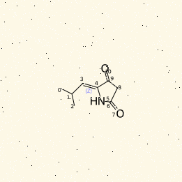 CC(C)/C=C1\NC(=O)CC1=O